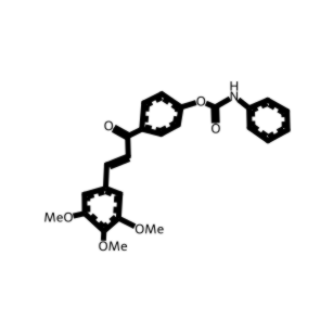 COc1cc(C=CC(=O)c2ccc(OC(=O)Nc3ccccc3)cc2)cc(OC)c1OC